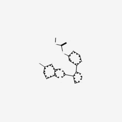 CNC(=O)Nc1cccc(-c2n[nH]cc2-c2nc3cc(Cl)ccc3o2)c1